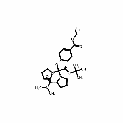 CCOC(=O)C1=CC[C@@H](OC(C(=O)OC(C)(C)C)(N2CCCC2)N2CCC[C@H]2C(=O)N(C)C)CC1